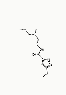 CCCN(C)CCNC(=O)c1cc(CC)on1